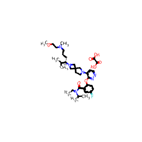 CCN(C(=O)c1cc(F)ccc1Oc1nnccc1N1CCC2(C1)CN([C@@H](CCCN(C)CCOC)C(C)C)C2)C(C)C.O=C(O)C(=O)O